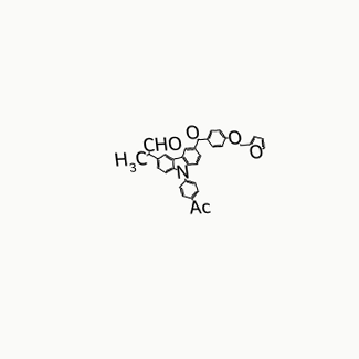 CC(=O)c1ccc(-n2c3ccc(C(=O)c4ccc(OCc5ccco5)cc4)cc3c3cc(C(C)C=O)ccc32)cc1